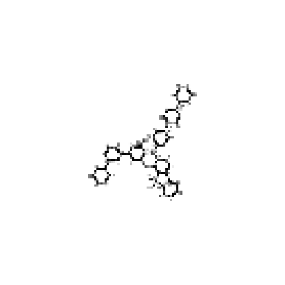 Cc1cc(-c2cccc(-c3ccccc3)c2)cc(C)c1N(c1ccc(-c2ccc(-c3ccccc3)cc2)cc1)c1ccc2c(c1)C(C)(C)c1ccccc1-2